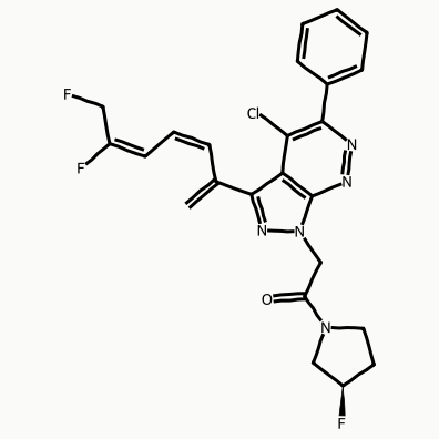 C=C(/C=C\C=C(\F)CF)c1nn(CC(=O)N2CC[C@@H](F)C2)c2nnc(-c3ccccc3)c(Cl)c12